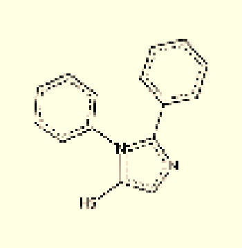 Sc1cnc(-c2ccccc2)n1-c1ccccc1